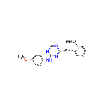 COc1ccccc1C#Cc1ncnc(Nc2ccc(OC(F)(F)F)cc2)n1